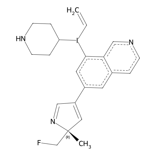 C=CI(c1cc(C2=C[C@](C)(CF)N=C2)cc2ccncc12)C1CCNCC1